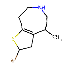 CC1CNCCC2=C1CC(Br)S2